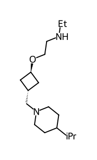 CCNCCO[C@H]1C[C@H](CN2CCC(C(C)C)CC2)C1